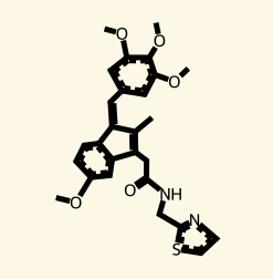 COc1ccc2c(c1)C(CC(=O)NCc1nccs1)=C(C)C2=Cc1cc(OC)c(OC)c(OC)c1